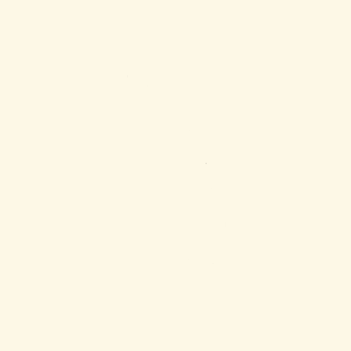 CCC1CC2CC(c3cc(F)c(C(F)(F)Oc4cc(F)c(-c5cc(F)c(F)c(F)c5)c(F)c4)c(F)c3)CC2C1